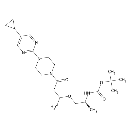 CC(CC(=O)N1CCN(c2ncc(C3CC3)cn2)CC1)OC[C@H](C)NC(=O)OC(C)(C)C